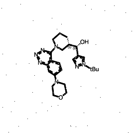 CC(C)(C)n1cc([C@@H](O)[C@H]2CCCN(c3nnnc4cc(N5CCOCC5)ccc34)C2)cn1